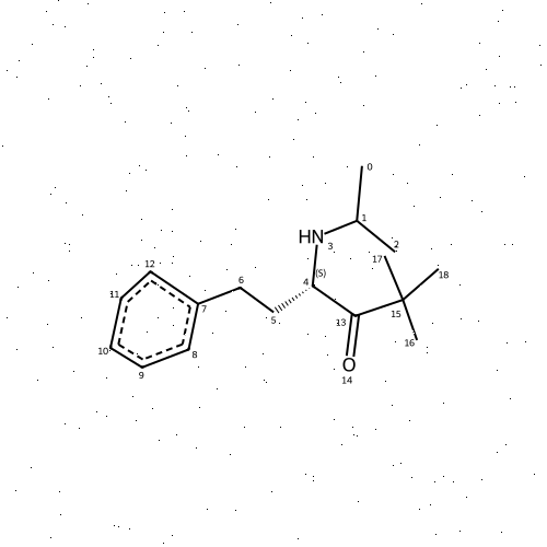 CC(C)N[C@@H](CCc1ccccc1)C(=O)C(C)(C)C